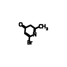 CC1=NC(Br)=CC(=O)C1